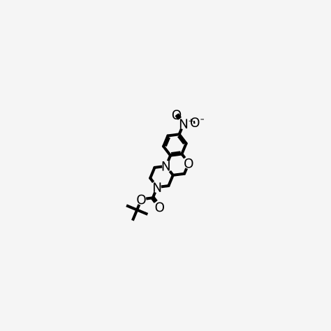 CC(C)(C)OC(=O)N1CCN2c3ccc([N+](=O)[O-])cc3OCC2C1